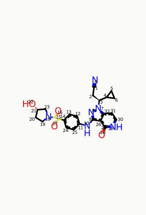 N#CC[C@@H](C1CC1)n1nc(Nc2ccc(S(=O)(=O)N3CC[C@H](O)C3)cc2)c2c(=O)[nH]ccc21